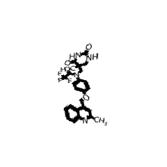 Cc1cc(COc2ccc(N(CC3(C)CNC(=O)NC3=O)C(=O)C(F)(F)F)cc2)c2ccccc2n1